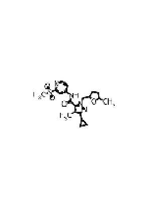 CC1CCC(Cn2nc(C3CC3)c(C(F)(F)F)c2C(=O)Nc2ccnc(S(C)(=O)=O)c2)O1